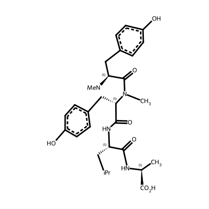 CN[C@@H](Cc1ccc(O)cc1)C(=O)N(C)[C@@H](Cc1ccc(O)cc1)C(=O)N[C@@H](CC(C)C)C(=O)N[C@@H](C)C(=O)O